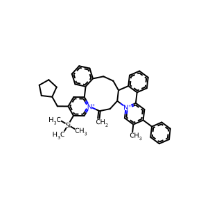 C=C1CC2C(CCc3ccccc3-c3cc(CC4CCCC4)c([Si](C)(C)C)c[n+]31)c1ccccc1-c1cc(-c3ccccc3)c(C)c[n+]12